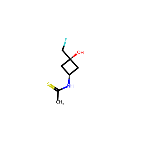 CC(=S)N[C@H]1C[C@](O)(CF)C1